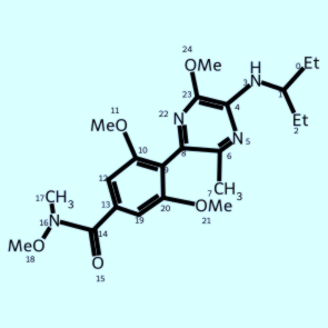 CCC(CC)Nc1nc(C)c(-c2c(OC)cc(C(=O)N(C)OC)cc2OC)nc1OC